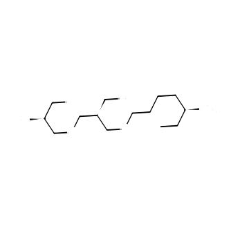 CCCC[C@H]1CC[C@H]([C@H]2OC[C@H]([C@H]3OC[C@H](CCC)CO3)CO2)CC1